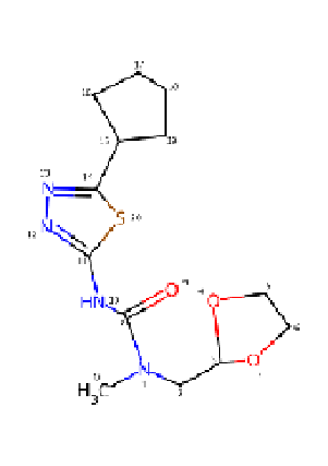 CN(CC1OCCO1)C(=O)Nc1nnc(C2CCCC2)s1